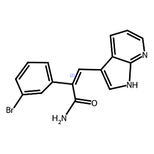 NC(=O)/C(=C\c1c[nH]c2ncccc12)c1cccc(Br)c1